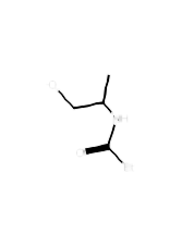 CCC(=O)NC(C)C[O]